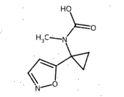 CN(C(=O)O)C1(c2ccno2)CC1